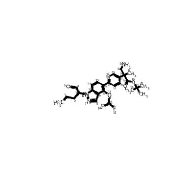 CCCC(C=O)n1ncc2c(OC(F)F)c(-c3ccc(C(C)(CN)C(=O)OC(C)(C)C)cn3)ccc21